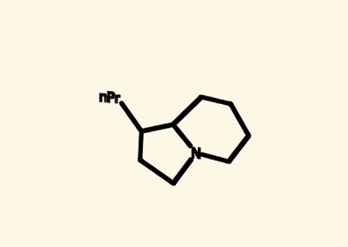 CCCC1CCN2CCCCC12